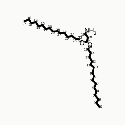 CCCCCCCCCCCCCCCCOC(CCN)OCCCCCCCCCCCCCCCC